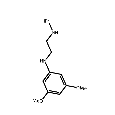 COc1cc(NCCNC(C)C)cc(OC)c1